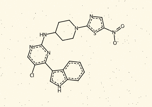 O=[N+]([O-])c1cnc(N2CCC(Nc3ncc(Cl)c(-c4c[nH]c5ccccc45)n3)CC2)s1